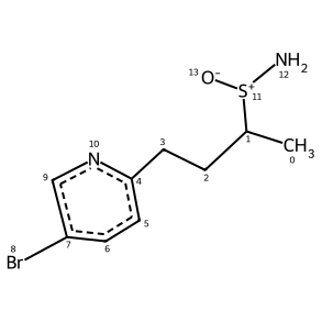 CC(CCc1ccc(Br)cn1)[S+](N)[O-]